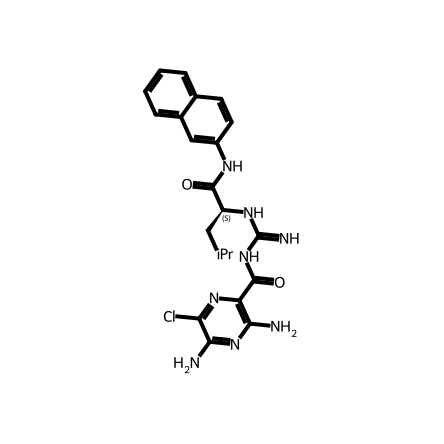 CC(C)C[C@H](NC(=N)NC(=O)c1nc(Cl)c(N)nc1N)C(=O)Nc1ccc2ccccc2c1